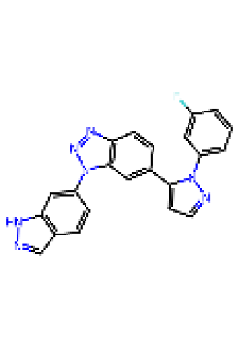 Fc1cccc(-n2nccc2-c2ccc3nnn(-c4ccc5cn[nH]c5c4)c3c2)c1